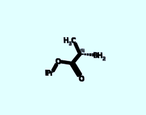 B[C@@H](C)C(=O)OC(C)C